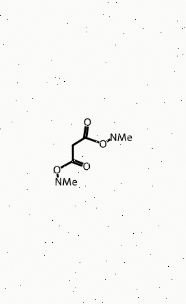 CNOC(=O)CC(=O)ONC